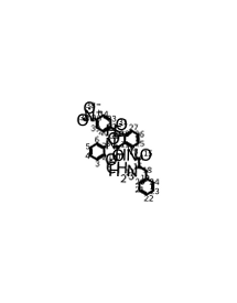 COc1ccccc1NC(=O)c1c(NC(=O)C(N)Cc2ccccc2)cccc1S(=O)(=O)c1ccc([N+](=O)[O-])cc1